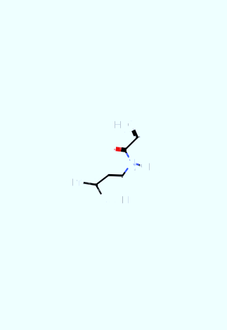 C=CC(=O)N(C)CCC(CCC)S(=O)(=O)O